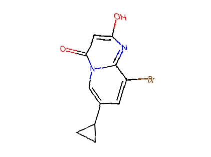 O=c1cc(O)nc2c(Br)cc(C3CC3)cn12